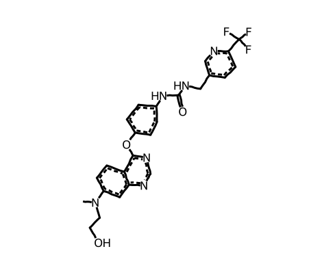 CN(CCO)c1ccc2c(Oc3ccc(NC(=O)NCc4ccc(C(F)(F)F)nc4)cc3)ncnc2c1